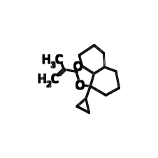 C=C(C)C(=O)OC1(C2CC2)CCCC2CCCCC21